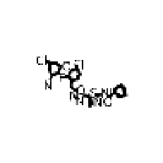 Cc1nc(NC(=O)c2ccccc2)sc1-c1nnc(Cc2ccc(Cl)c(Oc3cc(Cl)cc(C#N)c3)c2F)o1